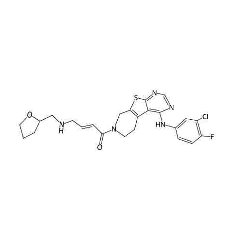 O=C(/C=C/CNCC1CCCO1)N1CCc2c(sc3ncnc(Nc4ccc(F)c(Cl)c4)c23)C1